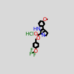 COc1ccc2[nH]c3c(c2c1)C1CCN(C1)C3C(=O)OCc1ccc(OC(F)(F)F)cc1.Cl